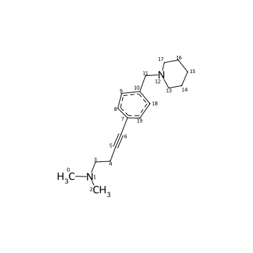 CN(C)CCC#Cc1ccc(CN2CCCCC2)cc1